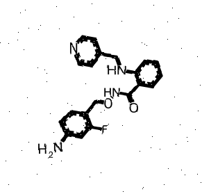 Nc1ccc(CONC(=O)c2ccccc2NCc2ccncc2)c(F)c1